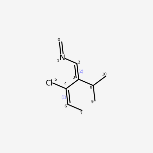 C=N/C=C(\C(Cl)=C/C)C(C)C